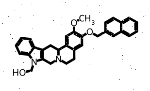 COc1cc2c(cc1OCc1ccc3ccccc3c1)CCN1Cc3c(c4ccccc4n3CO)CC21